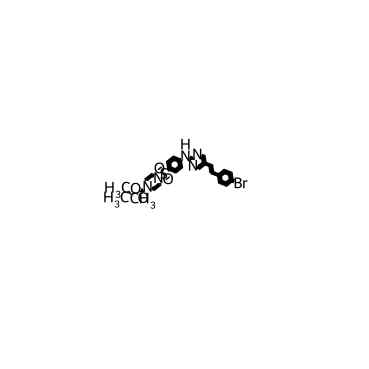 CC(C)(C)OC(=O)N1CCN(S(=O)(=O)c2ccc(Nc3ncc(C=Cc4ccc(Br)cc4)cn3)cc2)CC1